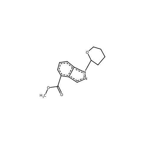 COC(=O)c1cccc2c1cnn2C1CCCCO1